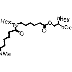 CCCCCCCCC(CCCCCC)COC(=O)CCCCCN(CCCCCC)C(=O)CCCCCNC